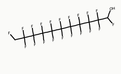 OC(F)C(F)(F)C(F)(F)C(F)(F)C(F)(F)C(F)(F)C(F)(F)C(F)(F)C(F)(F)C(F)(F)CF